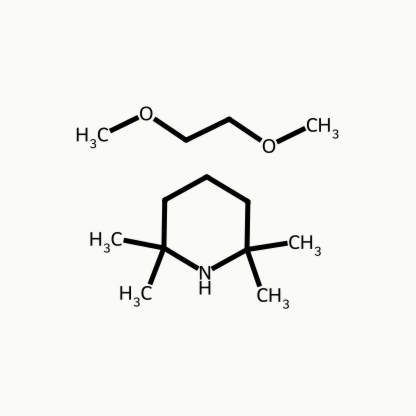 CC1(C)CCCC(C)(C)N1.COCCOC